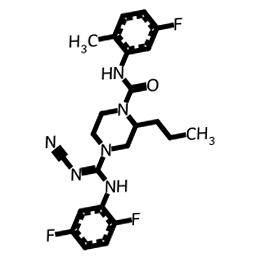 CCCC1CN(/C(=N\C#N)Nc2cc(F)ccc2F)CCN1C(=O)Nc1cc(F)ccc1C